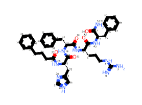 N=C(N)NCCC[C@H](NC(=O)[C@@H](Cc1ccccc1)NC(=O)[C@H](Cc1c[nH]cn1)NC(=O)CCCc1ccccc1)C(=O)N[C@H](Cc1ccccc1)C(N)=O